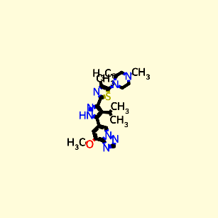 COc1cc(-c2[nH]nc(-c3nc(C)c(N4CCN(C)C[C@H]4C)s3)c2C(C)C)cn2ncnc12